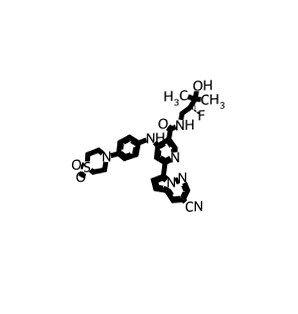 CC(C)(O)[C@H](F)CNC(=O)c1cnc(-c2ccc3cc(C#N)cnn23)cc1Nc1ccc(N2CCS(=O)(=O)CC2)cc1